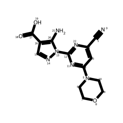 N#Cc1cc(N2CCOCC2)nc(-n2ncc(C(=O)O)c2N)n1